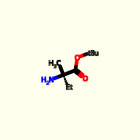 CC[C@@](C)(N)C(=O)OC(C)(C)C